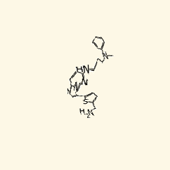 CN(CCCNc1ccc2ncc(-c3ccc(CN)s3)n2n1)c1ccccc1